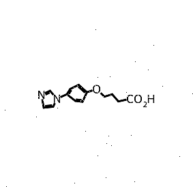 O=C(O)CCCOc1ccc(-n2ccnc2)cc1